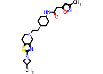 Cc1cc(CC(=O)N[C@H]2CC[C@H](CCN3CCc4sc(N5CC(C)C5)nc4C3)CC2)on1